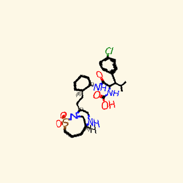 CC(C)C(c1ccc(Cl)cc1)C(NC(=O)O)C(=O)N[C@H]1CCCC[C@@H]1CC[C@H]1CN[C@@H]2CCCS(=O)(=O)N1C2